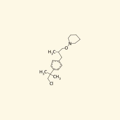 CC(CON1CCCCC1)Cc1ccc(C(C)(C)CCl)cc1